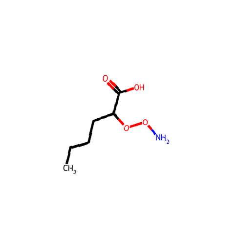 CCCCC(OON)C(=O)O